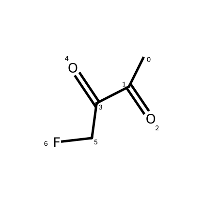 CC(=O)C(=O)CF